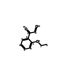 CCOc1ccccc1C(=O)C=O